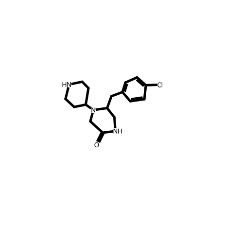 O=C1CN(C2CCNCC2)C(Cc2ccc(Cl)cc2)CN1